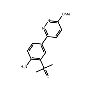 COc1ccc(-c2ccc(N)c(P(C)(C)=O)c2)nn1